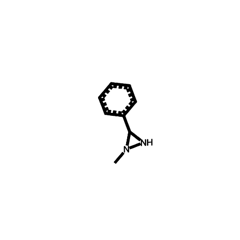 CN1NC1c1ccccc1